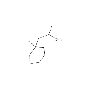 CC(CC1(C)CCCCC1)SI